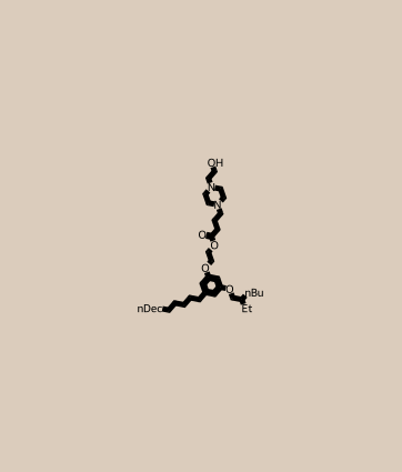 CCCCCCCCCCCCCCCc1cc(OCCOC(=O)CCCN2CCN(CCO)CC2)cc(OCC(CC)CCCC)c1